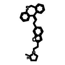 C[C@@H]1CCCN1CCc1cc2ccc(CC=C3c4ccccc4CSc4ccccc43)cc2o1